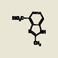 CCOC(=O)c1cccc2[nH]c(C)nc12